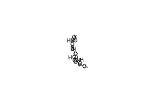 Cc1ccc(-c2ccc(C(=O)NC(Cc3ccc(-c4ccn(-c5ccc(NC(=O)OC(C)(C)C)cc5)n4)cc3)C(=O)O)o2)cc1